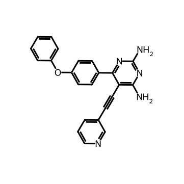 Nc1nc(N)c(C#Cc2cccnc2)c(-c2ccc(Oc3ccccc3)cc2)n1